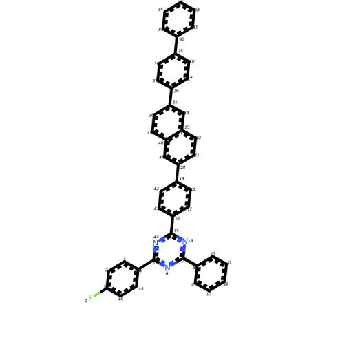 Fc1ccc(-c2nc(-c3ccccc3)nc(-c3ccc(-c4ccc5cc(-c6ccc(-c7ccccc7)cc6)ccc5c4)cc3)n2)cc1